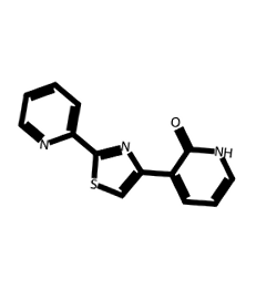 O=c1[nH]cccc1-c1csc(-c2ccccn2)n1